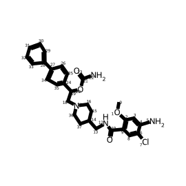 COc1cc(N)c(Cl)cc1C(=O)NCC1CCN(CC(OC(N)=O)c2ccc(-c3ccccc3)cc2)CC1